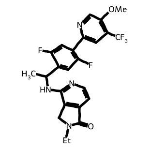 CCN1Cc2c(ccnc2NC(C)c2cc(F)c(-c3cc(C(F)(F)F)c(OC)cn3)cc2F)C1=O